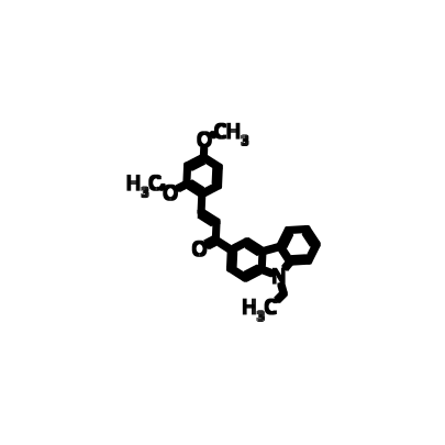 CCn1c2ccccc2c2cc(C(=O)C=Cc3ccc(OC)cc3OC)ccc21